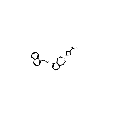 O=C(O)C1CC(N2CCc3cccc(OCCc4cccc5ccccc45)c3CC2)C1